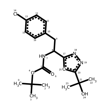 CC(C)(C)OC(=O)NC(Cc1ccc(Cl)cc1)c1nnc(C(C)(C)O)o1